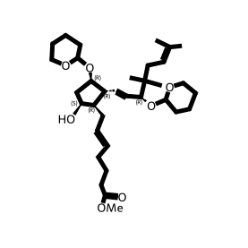 COC(=O)CCCC=CC[C@@H]1[C@@H](C=C[C@@H](OC2CCCCO2)C(C)(C)CC=C(C)C)[C@H](OC2CCCCO2)C[C@@H]1O